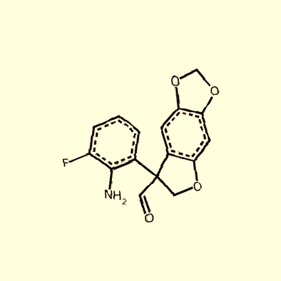 Nc1c(F)cccc1C1(C=O)COc2cc3c(cc21)OCO3